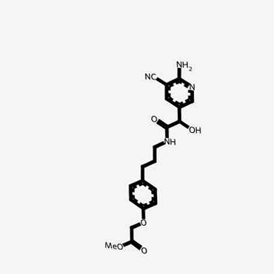 COC(=O)COc1ccc(CCCNC(=O)C(O)c2cnc(N)c(C#N)c2)cc1